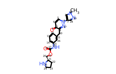 Cn1cc(-n2ccc(=O)c(Cc3cccc(NC(=O)OC[C@H]4CCCN4)c3)n2)cn1